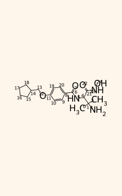 CC(C)(N)C(NC(=O)c1ccc(OCC2CCCC2)cc1)C(=O)NO